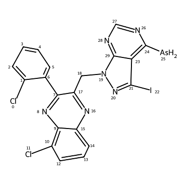 Clc1ccccc1-c1nc2c(Cl)cccc2nc1Cn1nc(I)c2c([AsH2])ncnc21